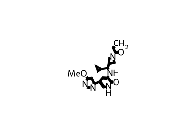 C=CC(=O)N1CC(C(Nc2cc(-c3cc(OC)ncn3)c[nH]c2=O)C2CC2)C1